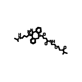 CC(C)NCCCn1nnc2c1-c1ccccc1CN(C(=O)CCC(=O)NCCOCCC(=O)C(C)C)c1ccccc1-2